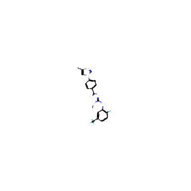 Cc1cn(-c2ccc(-c3nc(Nc4cc(C(F)(F)F)ccc4F)n(C)n3)cc2)cn1